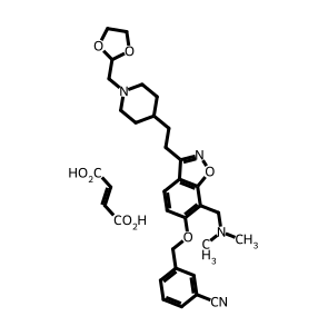 CN(C)Cc1c(OCc2cccc(C#N)c2)ccc2c(CCC3CCN(CC4OCCO4)CC3)noc12.O=C(O)C=CC(=O)O